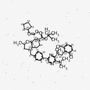 CC(C)CN(Cc1ccc(-c2cnc(N(C)C)c(N(C)Cc3c(Cl)cccc3Cl)n2)cc1)C1CCN(C(=O)OC(C)(C)C)[C@@H](C(=O)OC2CCCC2)C1